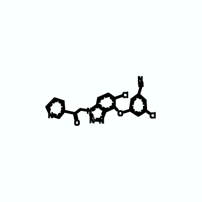 N#Cc1cc(Cl)cc(Oc2c(Cl)ccc3c2nnn3CC(=O)c2cccnc2)c1